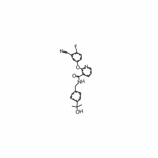 CC(C)(O)c1ccc(CNC(=O)c2cccnc2Oc2ccc(F)c(C#N)c2)cc1